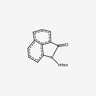 CCCCCCN1C(=O)c2cccc3cccc1c23